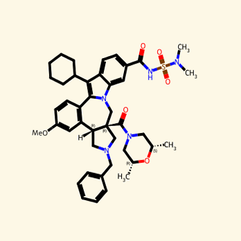 COc1ccc2c(c1)[C@H]1CN(Cc3ccccc3)C[C@@]1(C(=O)N1C[C@@H](C)O[C@@H](C)C1)Cn1c-2c(C2CCCCC2)c2ccc(C(=O)NS(=O)(=O)N(C)C)cc21